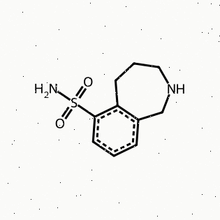 NS(=O)(=O)c1cccc2c1CCCNC2